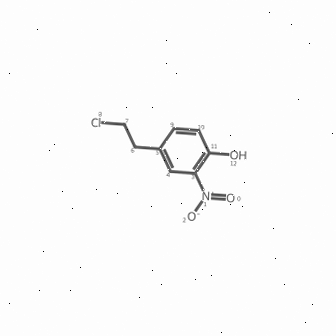 O=[N+]([O-])c1cc(CCCl)ccc1O